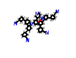 N#Cc1cccc(-c2ccc3c(c2)c2cc(-c4cccc(C#N)c4)ccc2n3-c2ccc(C#N)c(-c3cnccc3-n3c4ccc(-c5cccc(C#N)c5)cc4c4cc(-c5cccc(C#N)c5)ccc43)c2)c1